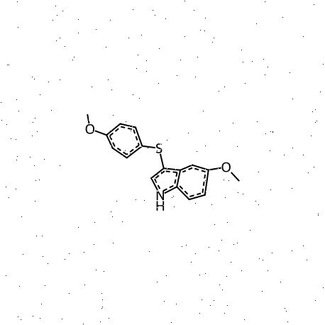 COc1ccc(Sc2c[nH]c3ccc(OC)cc23)cc1